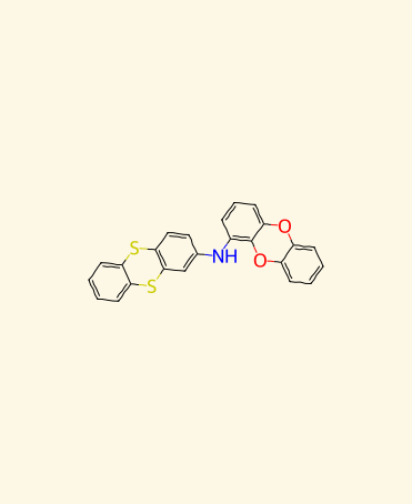 c1ccc2c(c1)Oc1cccc(Nc3ccc4c(c3)Sc3ccccc3S4)c1O2